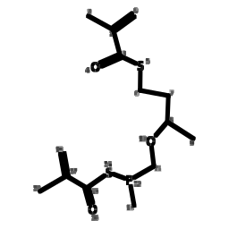 C=C(C)C(=O)SCCC(C)OCP(C)SC(=O)C(=C)C